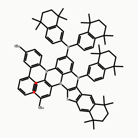 CC(C)(C)c1ccc2c(c1)B1c3sc4cc5c(cc4c3N(c3ccc4c(c3)C(C)(C)CCC4(C)C)c3cc(N(c4ccc6c(c4)C(C)(C)CCC6(C)C)c4ccc6c(c4)C(C)(C)CCC6(C)C)cc(c31)N2c1ccc(C(C)(C)C)cc1-c1ccccc1)C(C)(C)CCC5(C)C